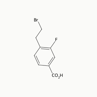 O=C(O)c1ccc(CCBr)c(F)c1